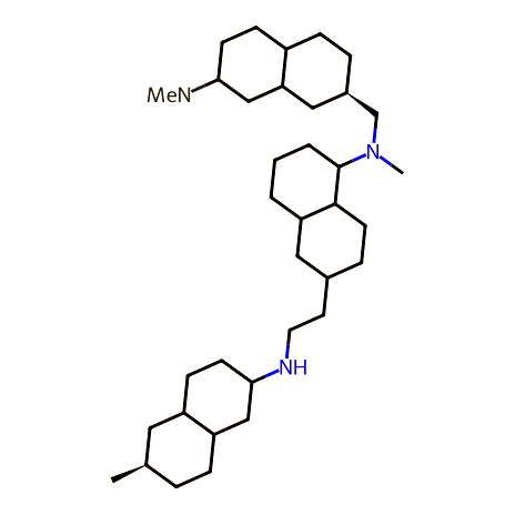 CNC1CCC2CC[C@@H](CN(C)C3CCCC4CC(CCNC5CCC6C[C@H](C)CCC6C5)CCC43)CC2C1